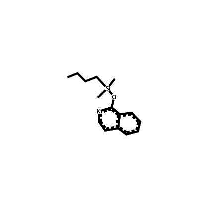 CCCC[Si](C)(C)Oc1nccc2ccccc12